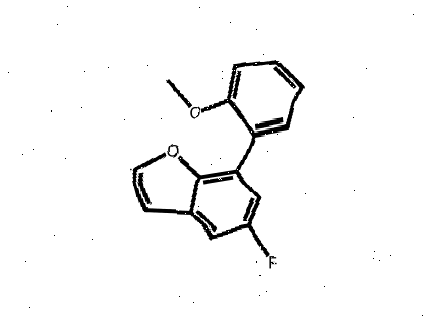 COc1ccccc1-c1cc(F)cc2c[c]oc12